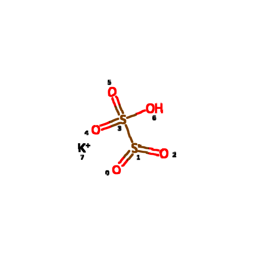 O=[S-](=O)S(=O)(=O)O.[K+]